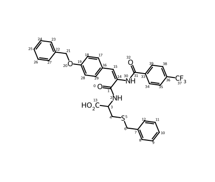 O=C(NC(CSCc1ccccc1)C(=O)O)/C(=C\c1ccc(OCc2ccccc2)cc1)NC(=O)c1ccc(C(F)(F)F)cc1